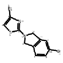 CCc1csc(N2Cc3ccc(Br)cc3C2)n1